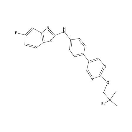 CCC(C)(C)COc1ncc(-c2ccc(Nc3nc4cc(F)ccc4s3)cc2)cn1